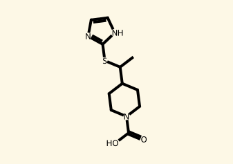 CC(Sc1ncc[nH]1)C1CCN(C(=O)O)CC1